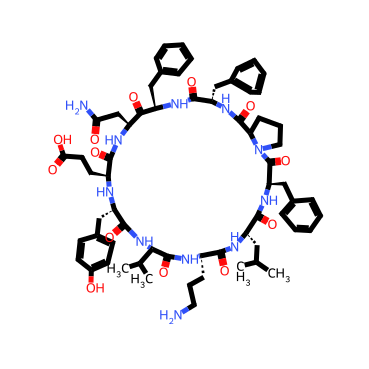 CC(C)C[C@@H]1NC(=O)[C@H](CCCN)NC(=O)C(C(C)C)NC(=O)[C@H](Cc2ccc(O)cc2)N[C@@H](CCC(=O)O)C(=O)N[C@@H](CC(N)=O)C(=O)[C@@H](Cc2ccccc2)NC(=O)[C@H](Cc2ccccc2)NC(=O)C2CCCN2C(=O)[C@@H](Cc2ccccc2)NC1=O